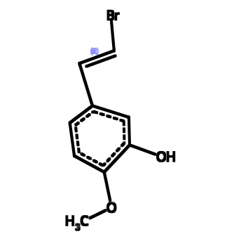 COc1ccc(/C=C/Br)cc1O